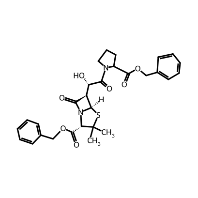 CC1(C)S[C@@H]2[C@H]([C@H](O)C(=O)N3CCCC3C(=O)OCc3ccccc3)C(=O)N2[C@H]1C(=O)OCc1ccccc1